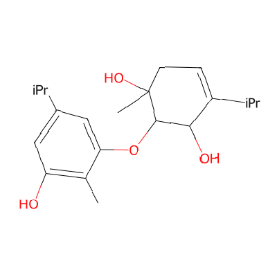 Cc1c(O)cc(C(C)C)cc1OC1C(O)C(C(C)C)=CCC1(C)O